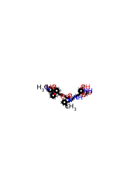 Cc1ccccc1CN(CCNCCc1ccc(O)c2c1OCC(=O)N2)C(=O)CCOCCc1ccc(O)c(C2(c3ccccc3)CCN(C)CC2)c1